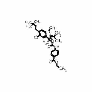 CCOC(=O)c1ccc(NC(=O)NC(C)(c2ccc(CCC(C)(C)C)c(Cl)c2)[C@H](CO)C(C)C)cc1